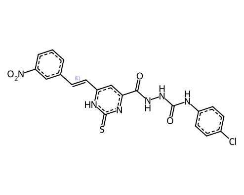 O=C(NNC(=O)c1cc(/C=C/c2cccc([N+](=O)[O-])c2)[nH]c(=S)n1)Nc1ccc(Cl)cc1